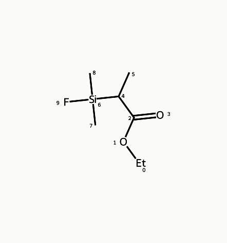 CCOC(=O)C(C)[Si](C)(C)F